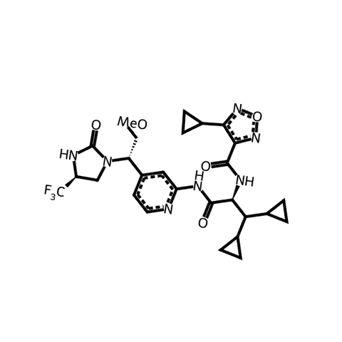 COC[C@H](c1ccnc(NC(=O)[C@@H](NC(=O)c2nonc2C2CC2)C(C2CC2)C2CC2)c1)N1C[C@@H](C(F)(F)F)NC1=O